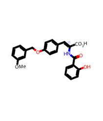 COc1cccc(COc2ccc(/C=C(\NC(=O)c3ccccc3O)C(=O)O)cc2)c1